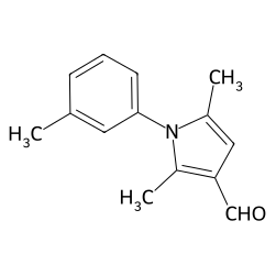 Cc1cccc(-n2c(C)cc(C=O)c2C)c1